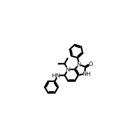 CC(C)N1c2c([nH]c(=O)n2-c2ccccc2)C=CC1Nc1ccccc1